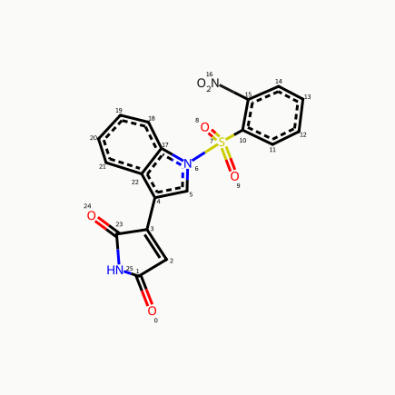 O=C1C=C(c2cn(S(=O)(=O)c3ccccc3[N+](=O)[O-])c3ccccc23)C(=O)N1